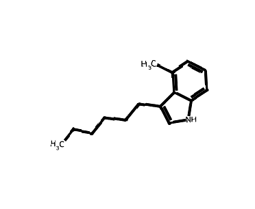 CCCCCCc1c[nH]c2cccc(C)c12